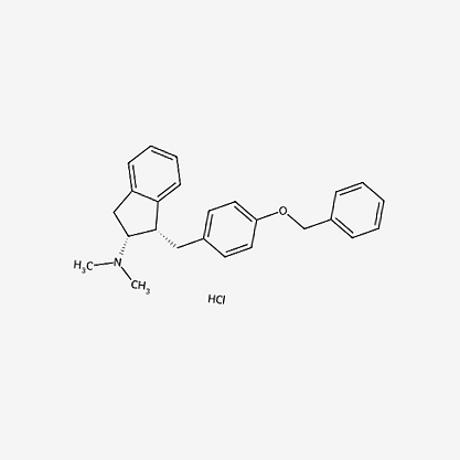 CN(C)[C@@H]1Cc2ccccc2[C@@H]1Cc1ccc(OCc2ccccc2)cc1.Cl